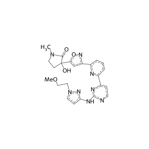 COCCn1ccc(Nc2nccc(-c3cccc(-c4cc(C5(O)CCN(C)C5=O)on4)n3)n2)n1